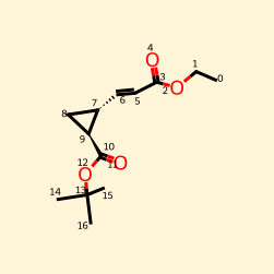 CCOC(=O)/C=C/[C@H]1C[C@@H]1C(=O)OC(C)(C)C